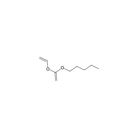 C=COC(=C)OCCCCC